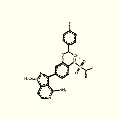 CC(Oc1cc(-c2nn(C)c3ccnc(N)c23)ccc1NS(=O)(=O)C(F)F)c1ccc(F)cc1